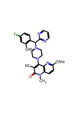 COc1ccc2c(n1)c(N1CCN(C(c3ncccn3)c3ccc(F)cc3OC)CC1)c(C#N)c(=O)n2C